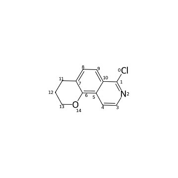 Clc1nccc2c3c(ccc12)CCCO3